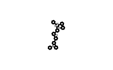 c1ccc(-c2nc(-c3ccccc3)c3c(n2)c2cc(-c4cccc5c4oc4ccc(-c6ccc7c(c6)c6ccccc6n7-c6ccccc6)cc45)ccc2n3-c2ccccc2)cc1